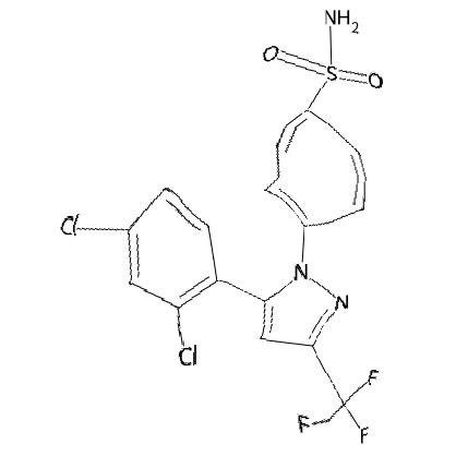 NS(=O)(=O)c1ccc(-n2nc(C(F)(F)F)cc2-c2ccc(Cl)cc2Cl)cc1